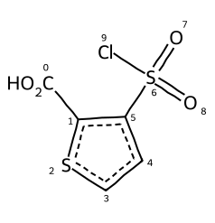 O=C(O)c1sccc1S(=O)(=O)Cl